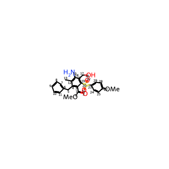 COC(=O)c1c(Cc2ccccc2)c(C)c(N)c(CO)c1S(=O)(=O)c1ccc(OC)cc1